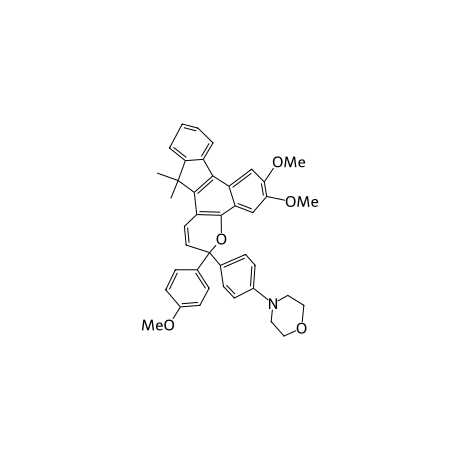 COc1ccc(C2(c3ccc(N4CCOCC4)cc3)C=Cc3c4c(c5cc(OC)c(OC)cc5c3O2)-c2ccccc2C4(C)C)cc1